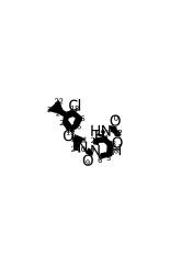 O=C1CO[C@H]2CCN(C(=O)N3CC(Oc4ccc(Cl)c(C5CC5)c4)C3)C[C@H]2N1